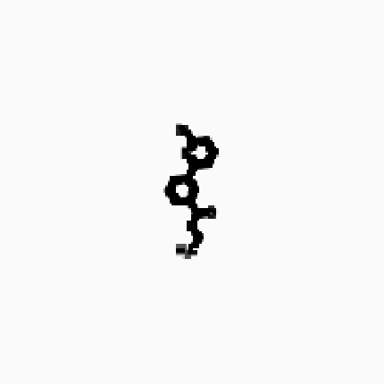 CCOC(=O)c1cccc(-c2cccc(Br)n2)c1